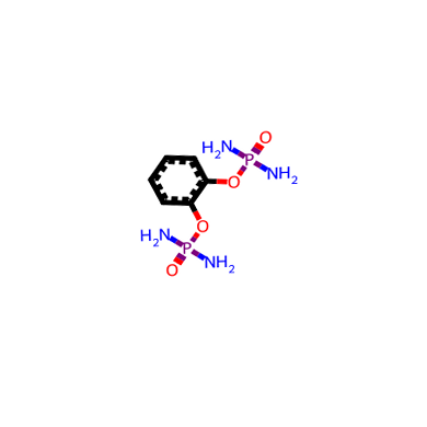 NP(N)(=O)Oc1ccccc1OP(N)(N)=O